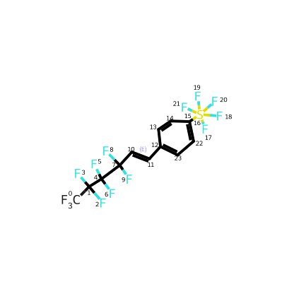 FC(F)(F)C(F)(F)C(F)(F)C(F)(F)/C=C/c1ccc(S(F)(F)(F)(F)F)cc1